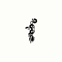 CCSc1cc(Oc2ccccn2)cnc1-c1cc2cnn(CC(F)(F)C(F)(F)F)c2cn1